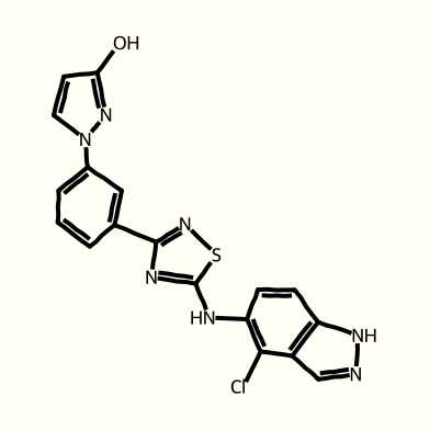 Oc1ccn(-c2cccc(-c3nsc(Nc4ccc5[nH]ncc5c4Cl)n3)c2)n1